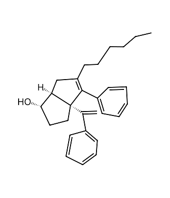 C=C(c1ccccc1)[C@]12CC[C@H](O)[C@H]1CC(CCCCCC)=C2c1ccccc1